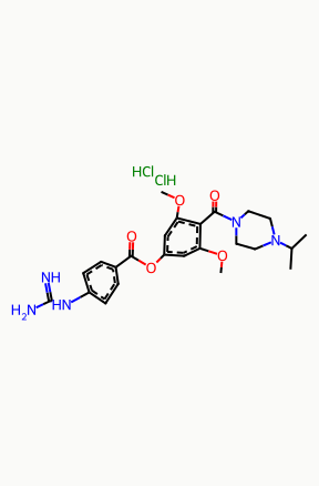 COc1cc(OC(=O)c2ccc(NC(=N)N)cc2)cc(OC)c1C(=O)N1CCN(C(C)C)CC1.Cl.Cl